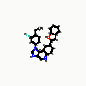 N#CCc1ccc(-n2cnc3cnc4ccc(-c5cc6ccccc6o5)cc4c32)cc1F